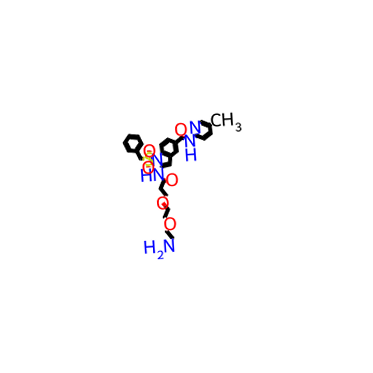 Cc1ccc(NC(=O)c2ccc3c(c2)cc(NC(=O)CCOCCOCCN)n3S(=O)(=O)Cc2ccccc2)nc1